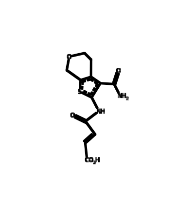 NC(=O)c1c(NC(=O)C=CC(=O)O)sc2c1CCOC2